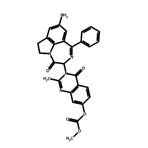 COC(=O)Oc1ccc2c(=O)n(C3N=C(c4ccccc4)c4cc(N)cc5c4N(CC5)C3=O)c(C)nc2c1